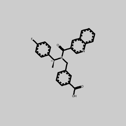 C[C@@H](c1ccc(F)cc1)N(Cc1cccc(C(=O)O)c1)C(=O)c1cnc2ccccc2c1